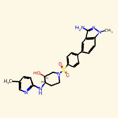 Cc1ccc(N[C@@H]2CCN(S(=O)(=O)c3ccc(-c4ccc5c(c4)c(N)nn5C)cc3)C[C@@H]2O)nc1